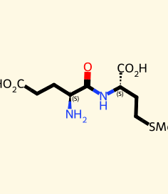 CSCC[C@H](NC(=O)[C@@H](N)CCC(=O)O)C(=O)O